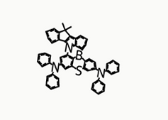 CC1(C)c2ccccc2-c2c1c1cccc3c1n2-c1cc(N(c2ccccc2)c2ccccc2)cc2c1B3c1ccc(N(c3ccccc3)c3ccccc3)cc1S2